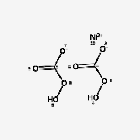 O=C([O-])OO.O=C([O-])OO.[Ni+2]